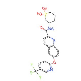 O=C(NC1CCCS(O)(O)C1)c1ccc2cc(Oc3ccc(C(F)(F)F)cn3)ccc2n1